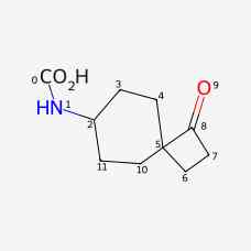 O=C(O)NC1CCC2(CCC2=O)CC1